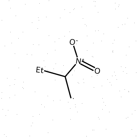 [CH2]CC([CH2])[N+](=O)[O-]